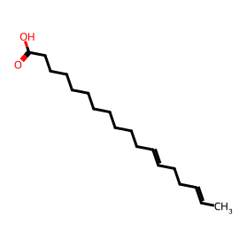 CC=CCCC=CCCCCCCCCCCC(=O)O